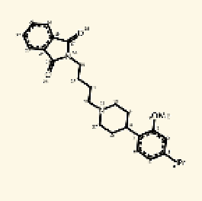 COc1cc(C(C)C)ccc1C1CCN(CCCCN2C(=O)c3ccccc3C2=O)CC1